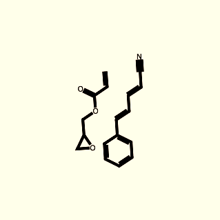 C=CC(=O)OCC1CO1.N#CC=CC=Cc1ccccc1